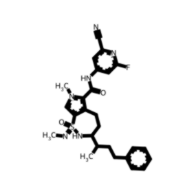 CN=S1(=O)NC(C(C)CCc2ccccc2)CCc2c1cn(C)c2C(=O)Nc1cc(F)nc(C#N)c1